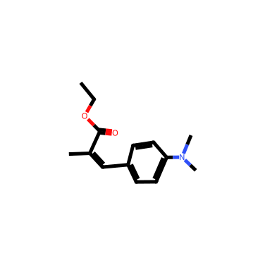 CCOC(=O)C(C)=Cc1ccc(N(C)C)cc1